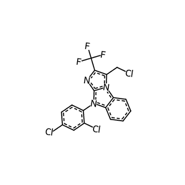 FC(F)(F)c1nc2n(-c3ccc(Cl)cc3Cl)c3ccccc3n2c1CCl